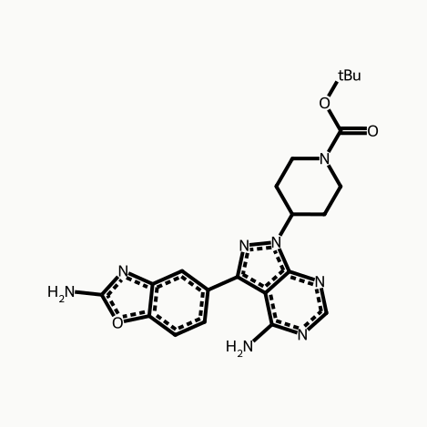 CC(C)(C)OC(=O)N1CCC(n2nc(-c3ccc4oc(N)nc4c3)c3c(N)ncnc32)CC1